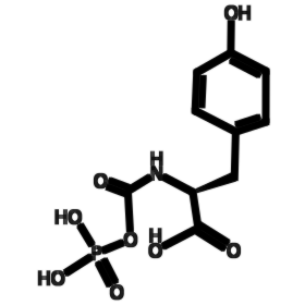 O=C(N[C@@H](Cc1ccc(O)cc1)C(=O)O)OP(=O)(O)O